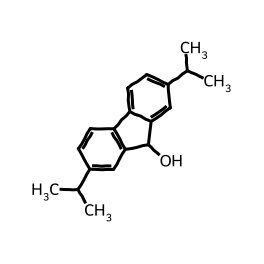 CC(C)c1ccc2c(c1)C(O)c1cc(C(C)C)ccc1-2